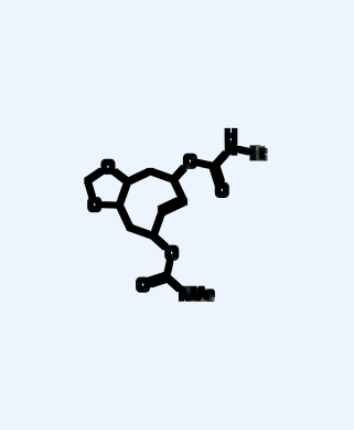 CCNC(=O)OC1/C=C/C(OC(=O)NC)CC2OCOC2C1